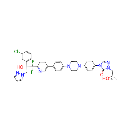 C[C@H](O)Cn1ncn(-c2ccc(N3CCN(c4ccc(-c5ccc(C(F)(F)C(O)(Cn6cccn6)c6cccc(Cl)c6)nc5)cc4)CC3)cc2)c1=O